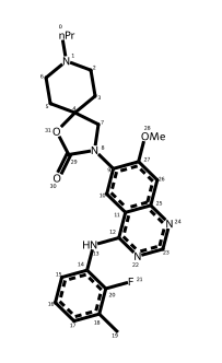 CCCN1CCC2(CC1)CN(c1cc3c(Nc4cccc(C)c4F)ncnc3cc1OC)C(=O)O2